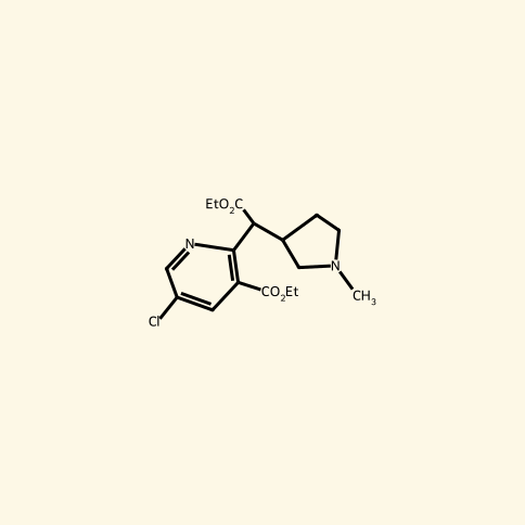 CCOC(=O)c1cc(Cl)cnc1C(C(=O)OCC)C1CCN(C)C1